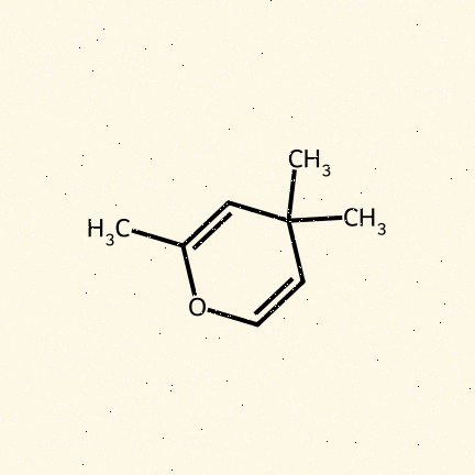 CC1=CC(C)(C)C=CO1